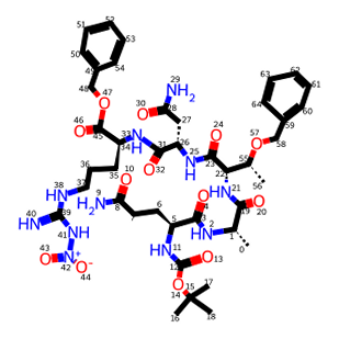 C[C@H](NC(=O)[C@H](CCC(N)=O)NC(=O)OC(C)(C)C)C(=O)N[C@H](C(=O)N[C@@H](CC(N)=O)C(=O)N[C@@H](CCCNC(=N)N[N+](=O)[O-])C(=O)OCc1ccccc1)[C@@H](C)OCc1ccccc1